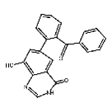 O=C(c1ccccc1)c1ccccc1-c1cc(O)c2nc[nH]c(=O)c2c1